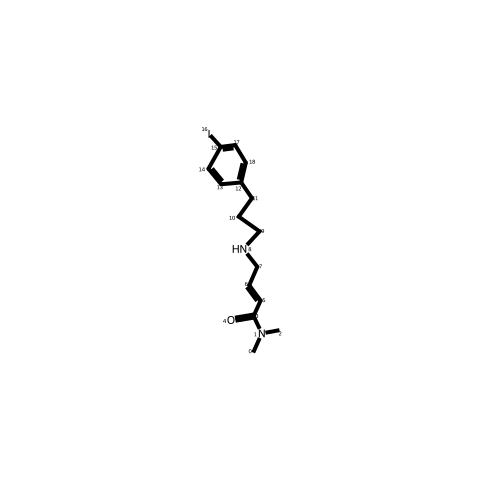 CN(C)C(=O)C=CCNCCCc1ccc(I)cc1